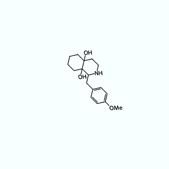 COc1ccc(CC2NCCC3(O)CCCCC23O)cc1